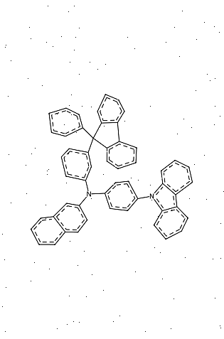 c1ccc(C2(c3cccc(N(c4ccc(-n5c6ccccc6c6ccccc65)cc4)c4ccc5ccccc5c4)c3)c3ccccc3-c3ccccc32)cc1